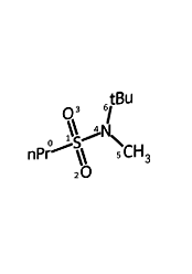 CCCS(=O)(=O)N(C)C(C)(C)C